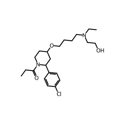 CCC(=O)N1CCC(OCCCCN(CC)CCO)CC1c1ccc(Cl)cc1